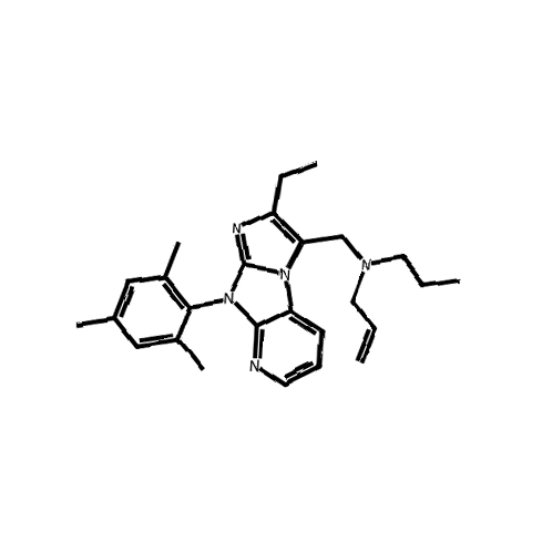 C=CCN(CCC)Cc1c(CC)nc2n(-c3c(C)cc(C)cc3C)c3ncccc3n12